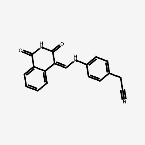 N#CCc1ccc(NC=C2C(=O)NC(=O)c3ccccc32)cc1